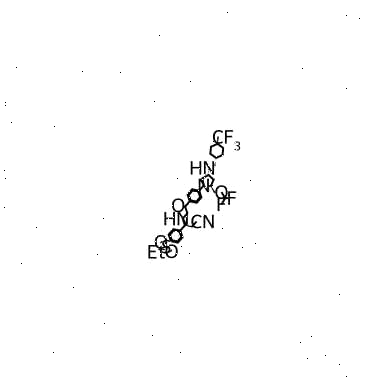 CCS(=O)(=O)c1ccc([C@H](CC#N)NCC(=O)c2ccc(N3C[C@H](NC[C@H]4CC[C@H](C(F)(F)F)CC4)C[C@H]3COC(F)F)cc2)cc1